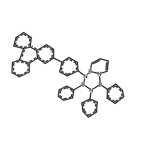 C1=CB2N(C=C1)B(c1ccccc1)N(c1ccccc1)B(c1ccccc1)N2c1ccc(-c2ccc3c4ccccc4c4ccccc4c3c2)cc1